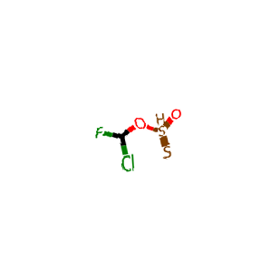 O=[SH](=S)OC(F)Cl